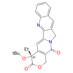 CC[C@]1(OC(C)(C)C)C(=O)OCc2c1cc1n(c2=O)Cc2cc3ccccc3nc2-1